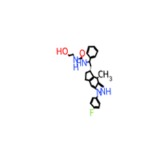 C[C@H]1C2=CNN(c3ccc(F)cc3)C2=CC2=C1[C@@H](CC(NC(=O)NCCO)c1ccccc1)CC2